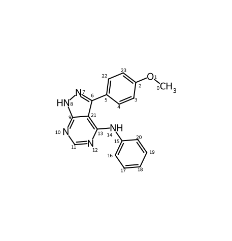 COc1ccc(-c2n[nH]c3ncnc(Nc4ccccc4)c23)cc1